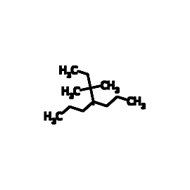 CCC[C](CCC)C(C)(C)CC